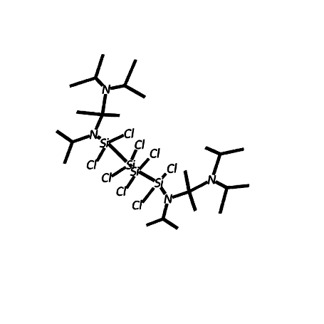 CC(C)N(C(C)C)C(C)(C)N(C(C)C)[Si](Cl)(Cl)[Si](Cl)(Cl)[Si](Cl)(Cl)[Si](Cl)(Cl)N(C(C)C)C(C)(C)N(C(C)C)C(C)C